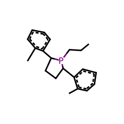 CCCP1C(c2ccccc2C)CCC1c1ccccc1C